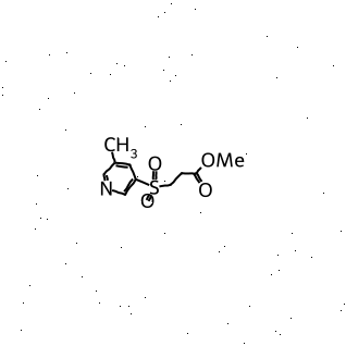 COC(=O)CCS(=O)(=O)c1cncc(C)c1